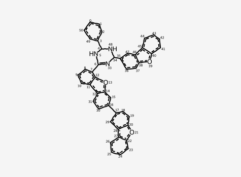 c1ccc(C2NC(c3cccc4c3oc3cc(-c5ccc6oc7ccccc7c6c5)ccc34)=NC(c3ccc4oc5ccccc5c4c3)N2)cc1